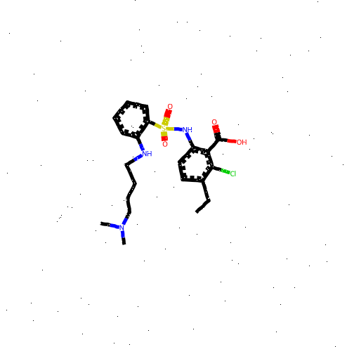 CCc1ccc(NS(=O)(=O)c2ccccc2NCCCCN(C)C)c(C(=O)O)c1Cl